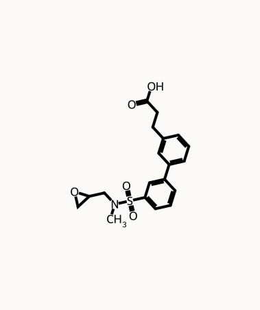 CN(CC1CO1)S(=O)(=O)c1cccc(-c2cccc(CCC(=O)O)c2)c1